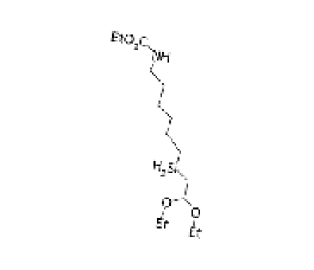 CCOC(=O)NCCCCCC[SiH2]CC(OCC)OCC